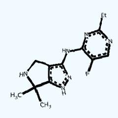 CCc1ncc(F)c(Nc2n[nH]c3c2CNC3(C)C)n1